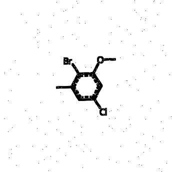 COc1cc(Cl)cc(C)c1Br